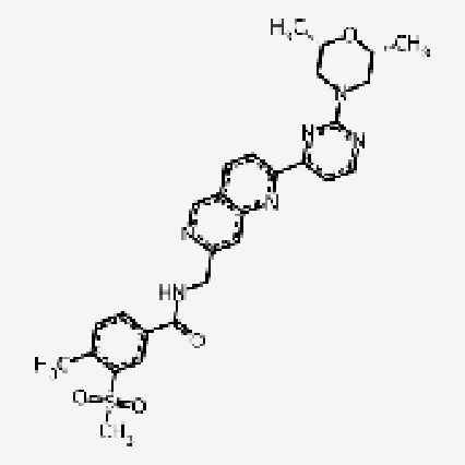 Cc1ccc(C(=O)NCc2cc3nc(-c4ccnc(N5C[C@@H](C)O[C@@H](C)C5)n4)ccc3cn2)cc1S(C)(=O)=O